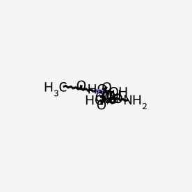 CCCCCCCC(=O)CCCCCC/C=C/[C@H](C(=O)N[C@@H](Cc1ccc(OCCCN)cc1)C(=O)O)[C@@](O)(CC(=O)O)C(=O)O